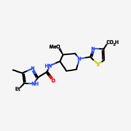 CCc1[nH]c(C(=O)NC2CCN(c3nc(C(=O)O)cs3)C[C@@H]2OC)nc1C